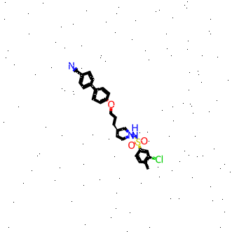 Cc1ccc(S(=O)(=O)NN2CC[C@@H](CCCOc3ccc(-c4ccc(C#N)cc4)cc3)C2)cc1Cl